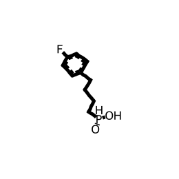 O=[PH](O)CCCCc1ccc(F)cc1